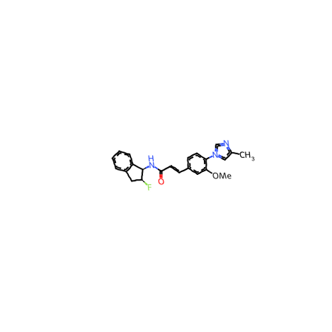 COc1cc(/C=C/C(=O)N[C@@H]2c3ccccc3C[C@@H]2F)ccc1-n1cnc(C)c1